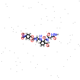 CNC(=O)CCC(C=O)N(C)C(=O)c1c(C=O)cccc1NC1CN(C(=O)Oc2ccc([N+](=O)[O-])cc2)C1